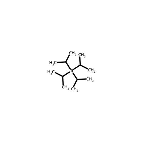 C[CH](C)[Ti]([CH](C)C)([CH](C)C)[CH](C)C